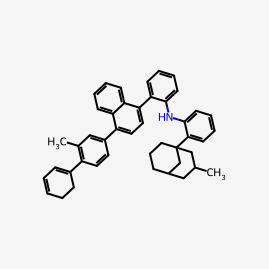 Cc1cc(-c2ccc(-c3ccccc3Nc3ccccc3C34CCCC(CC(C)C3)C4)c3ccccc23)ccc1C1=CC=CCC1